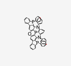 c1ccc(N2c3cccc4c3P3c5c(cc6c7ccccc7p(-c7ccccc7)c6c52)Oc2cc5c6ccccc6p(-c6ccccc6)c5c(c23)N4c2ccccc2)cc1